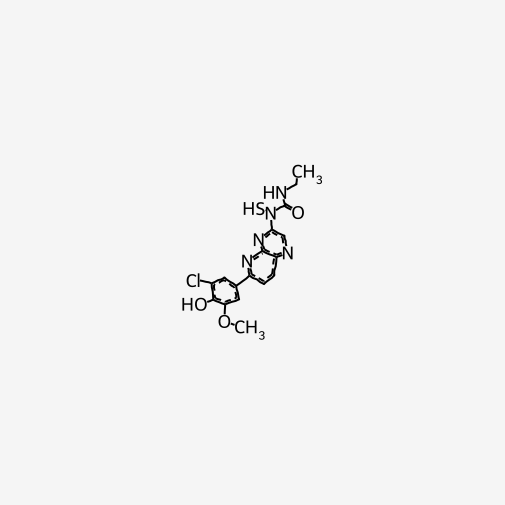 CCNC(=O)N(S)c1cnc2ccc(-c3cc(Cl)c(O)c(OC)c3)nc2n1